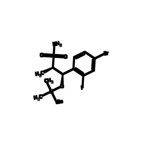 C[C@H]([C@H](O[Si](C)(C)C(C)(C)C)c1ccc(Br)cc1F)S(N)(=O)=O